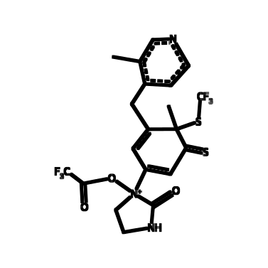 Cc1cnccc1CC1=CC([N+]2(OC(=O)C(F)(F)F)CCNC2=O)=CC(=S)C1(C)SC(F)(F)F